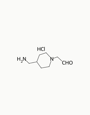 Cl.NCC1CCN(CC=O)CC1